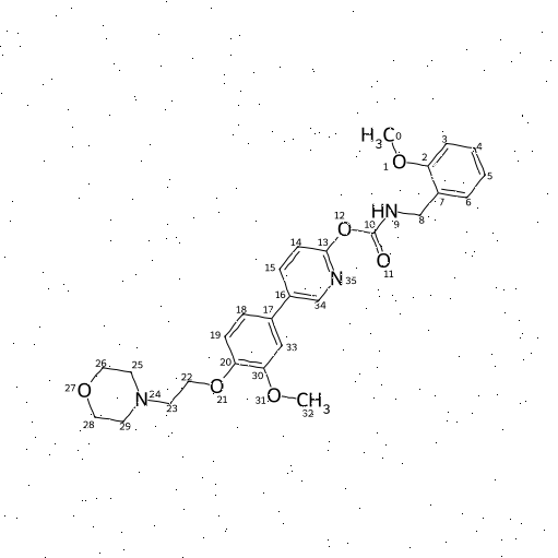 COc1ccccc1CNC(=O)Oc1ccc(-c2ccc(OCCN3CCOCC3)c(OC)c2)cn1